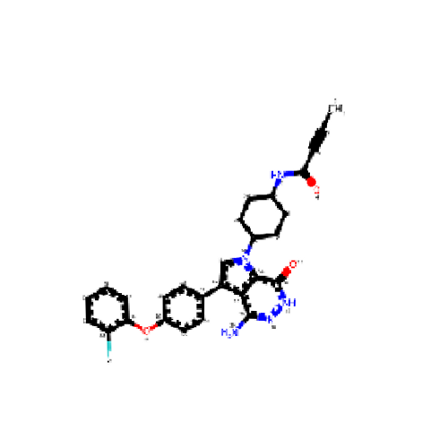 CC#CC(=O)NC1CCC(n2cc(-c3ccc(Oc4ccccc4F)cc3)c3c(N)n[nH]c(=O)c32)CC1